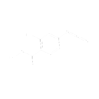 [N-]=[N+]=Nc1ccc(C(O)NO)c(O)c1